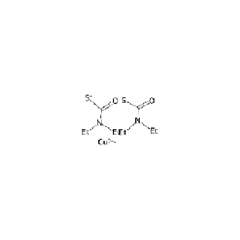 CCN(CC)C(=O)[S-].CCN(CC)C(=O)[S-].[Cu+2]